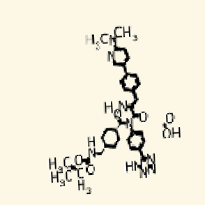 CN(C)c1ccc(-c2ccc(C[C@H](N)C(=O)N(c3ccc(-c4nnn[nH]4)cc3)C(=O)[C@H]3CC[C@H](CNC(=O)OC(C)(C)C)CC3)cc2)cn1.O=CO